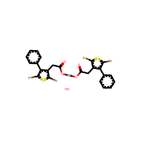 O=C(Cc1c(Br)sc(Br)c1-c1ccccc1)[O][Al+][O]C(=O)Cc1c(Br)sc(Br)c1-c1ccccc1.[OH-]